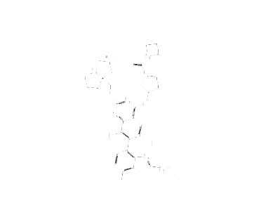 C[C@@H]1CCN1C(=O)N1CCC(Oc2nc(OC[C@@]34CCCN3C[C@H](F)C4)nc3c(F)c(-c4ccc(F)c5sc(N)nc45)c(Cl)cc23)C1